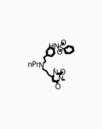 CCCN(CCCc1cc(=O)n(C)c(=O)n1C)CCc1ccc(NS(=O)(=O)c2ccccc2)cc1